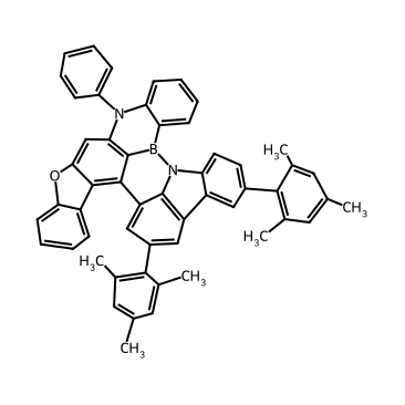 Cc1cc(C)c(-c2ccc3c(c2)c2cc(-c4c(C)cc(C)cc4C)cc4c2n3B2c3ccccc3N(c3ccccc3)c3cc5oc6ccccc6c5c-4c32)c(C)c1